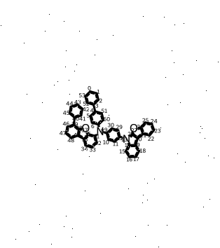 c1ccc(-c2ccc(N(c3ccc(-n4c5ccccc5c5c6ccccc6oc54)cc3)c3cccc4c3oc3c(-c5ccccc5)cccc34)cc2)cc1